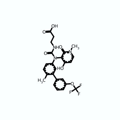 Cc1ccc(N(C(=O)NCCC(=O)O)c2c(O)ccn(C)c2=O)cc1-c1cccc(OC(F)(F)F)c1